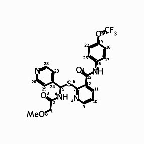 COCC(=O)NC(Sc1ncccc1C(=O)Nc1ccc(OC(F)(F)F)cc1)c1ccncc1